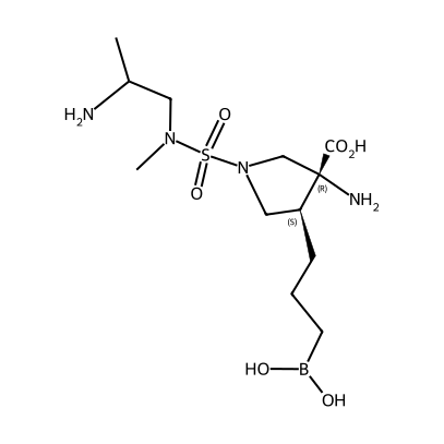 CC(N)CN(C)S(=O)(=O)N1C[C@H](CCCB(O)O)[C@](N)(C(=O)O)C1